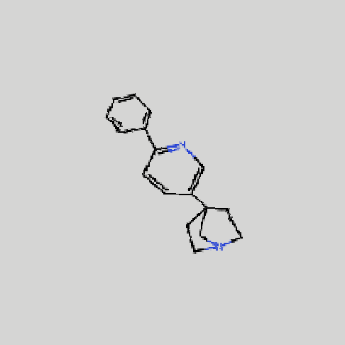 c1ccc(-c2ccc(C34CCN(CC3)C4)cn2)cc1